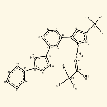 Cn1nc(C(F)(F)F)cc1-c1ccnc(-c2ncc(-c3ccccc3)[nH]2)c1.O=C(O)C(F)(F)F